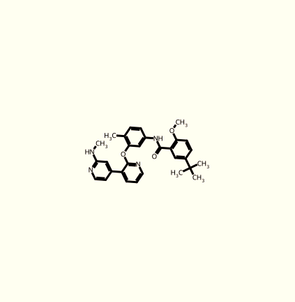 CNc1cc(-c2cccnc2Oc2cc(NC(=O)c3cc(C(C)(C)C)ccc3OC)ccc2C)ccn1